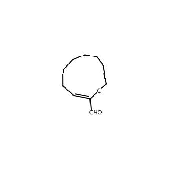 O=CC1=CCCCCCCCC1